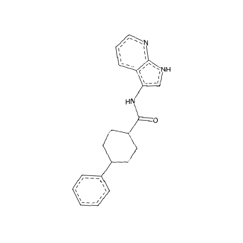 O=C(Nc1c[nH]c2ncccc12)C1CCC(c2ccccc2)CC1